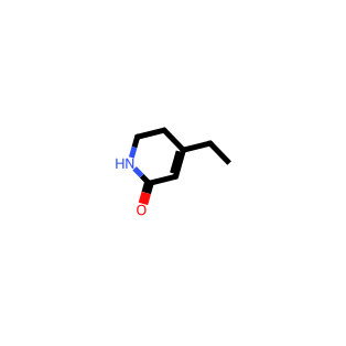 CCC1=CC(=O)NCC1